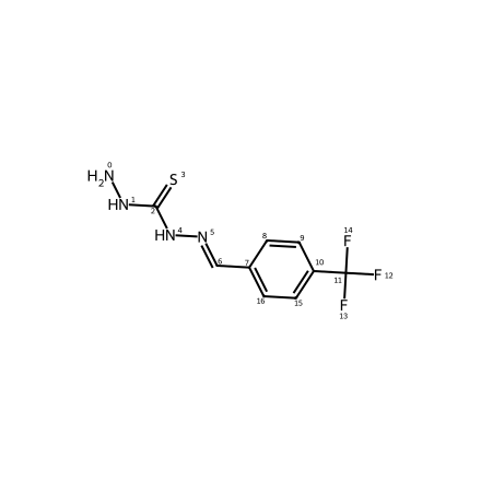 NNC(=S)NN=Cc1ccc(C(F)(F)F)cc1